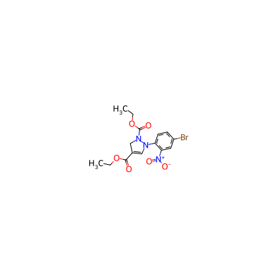 CCOC(=O)C1=CN(c2ccc(Br)cc2[N+](=O)[O-])N(C(=O)OCC)C1